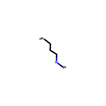 CCCCCC[N]C(C)C